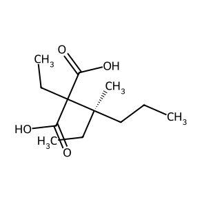 CCC[C@@](C)(CC)C(CC)(C(=O)O)C(=O)O